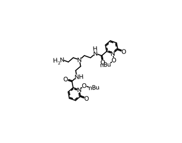 CCCCOn1c(C(=O)NCCN(CCN)CCNC(=O)c2cccc(=O)n2OCCCC)cccc1=O